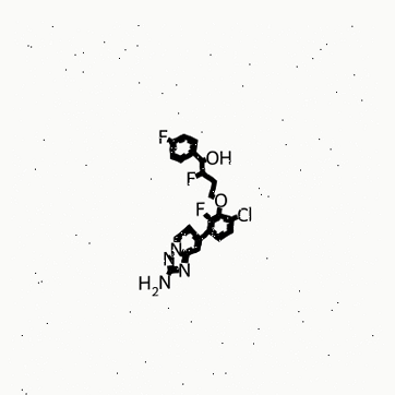 Nc1nc2cc(-c3ccc(Cl)c(OCCC(F)C(O)c4ccc(F)cc4)c3F)ccn2n1